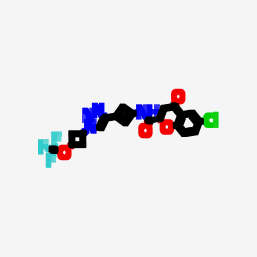 O=C1C[C@H](C(=O)NC23CC(c4cn(C5CC(OC(F)(F)F)C5)nn4)(C2)C3)Oc2ccc(Cl)cc21